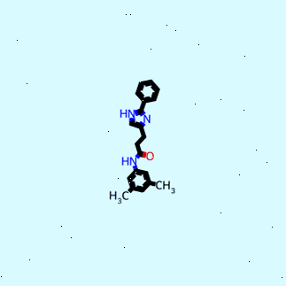 Cc1cc(C)cc(NC(=O)CCc2c[nH]c(-c3ccccc3)n2)c1